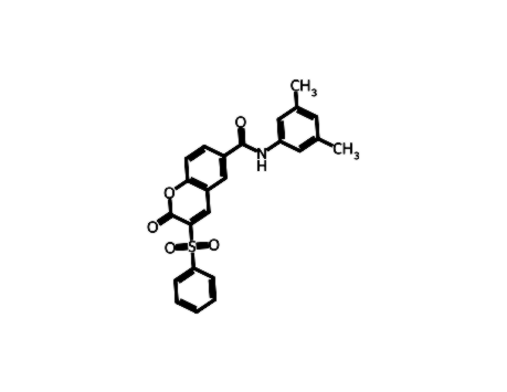 Cc1cc(C)cc(NC(=O)c2ccc3oc(=O)c(S(=O)(=O)c4ccccc4)cc3c2)c1